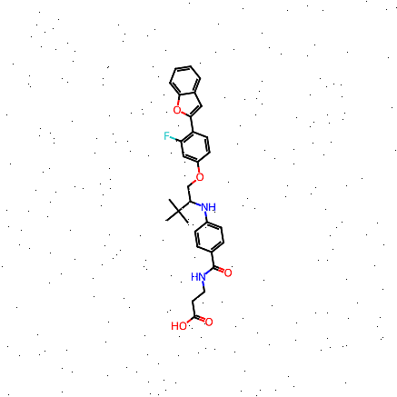 CC(C)(C)C(COc1ccc(-c2cc3ccccc3o2)c(F)c1)Nc1ccc(C(=O)NCCC(=O)O)cc1